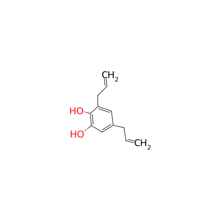 C=CCc1cc(O)c(O)c(CC=C)c1